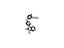 COc1cc(Oc2ccc(-n3c(=O)[nH]c4cncnc43)cn2)ccc1C